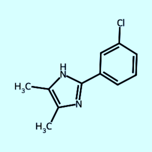 Cc1nc(-c2cccc(Cl)c2)[nH]c1C